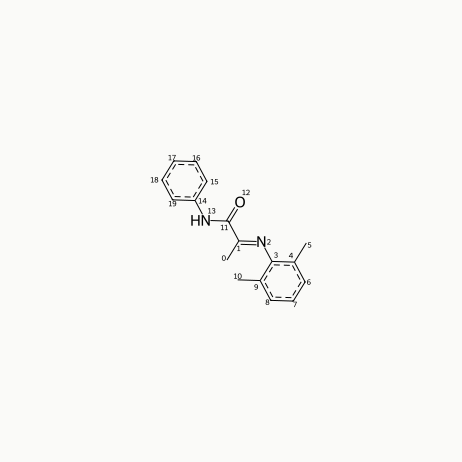 CC(=Nc1c(C)cccc1C)C(=O)Nc1ccccc1